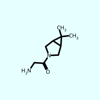 CC1(C)C2CN(C(=O)CN)CC21